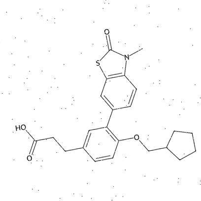 Cn1c(=O)sc2cc(-c3cc(CCC(=O)O)ccc3OCC3CCCC3)ccc21